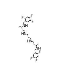 CC(CCNCCCNCCC(C)NCc1cc(F)c(F)cc1F)NCc1cc(F)c(F)cc1F